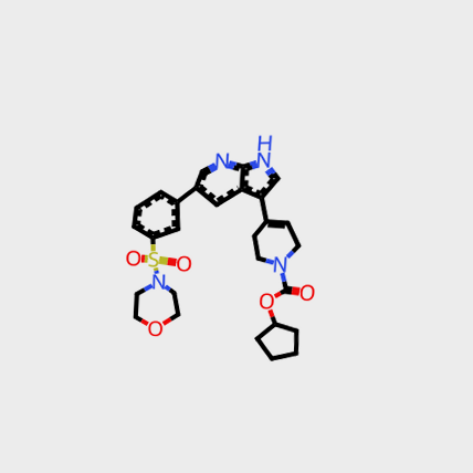 O=C(OC1CCCC1)N1CC=C(c2c[nH]c3ncc(-c4cccc(S(=O)(=O)N5CCOCC5)c4)cc23)CC1